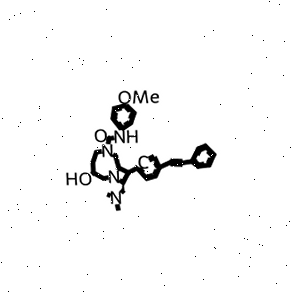 COc1ccc(NC(=O)N2CCC(O)CN3C(C2)C(c2ccc(C#Cc4ccccc4)cc2)[C@H]3CN(C)C)cc1